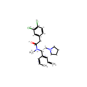 C=C/C=C(\C=C/C)[C@@H](CN1CCCC1)N(C)C(=O)Cc1ccc(Cl)c(Cl)c1